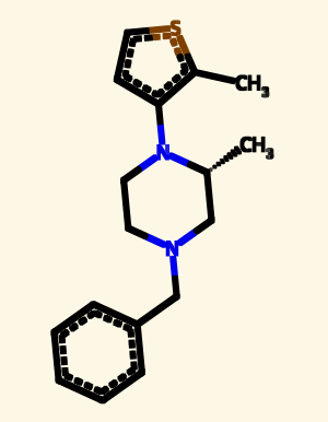 Cc1sccc1N1CCN(Cc2ccccc2)C[C@H]1C